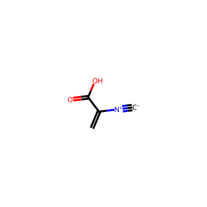 [C-]#[N+]C(=C)C(=O)O